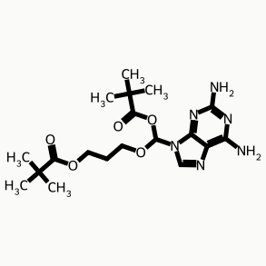 CC(C)(C)C(=O)OCCCOC(OC(=O)C(C)(C)C)n1cnc2c(N)nc(N)nc21